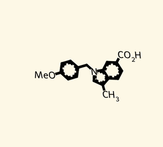 COc1ccc(Cn2cc(C)c3ccc(C(=O)O)cc32)cc1